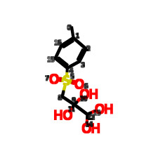 Cc1ccc(S(=O)(=O)CC(O)(O)C(O)O)cc1